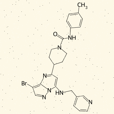 Cc1ccc(NC(=O)N2CCC(c3cc(NCc4cccnc4)n4ncc(Br)c4n3)CC2)cc1